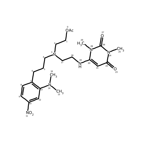 CC(=O)OCCN(CCCc1ccc([N+](=O)[O-])cc1N(C)C)CCNc1cc(=O)n(C)c(=O)n1C